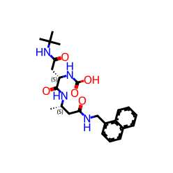 C[C@@H](CC(=O)NCc1cccc2ccccc12)NC(=O)[C@H](CC(=O)NC(C)(C)C)NC(=O)O